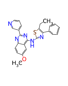 CCc1sc(Nc2nc(-c3cccnc3)nc3ccc(OC)cc23)nc1-c1ccccc1